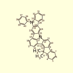 CC1(C)c2ccccc2-c2ccc3c(c21)c1cccc2c4cc5c(cc4n3c21)c1ccccc1n5-c1ccccc1